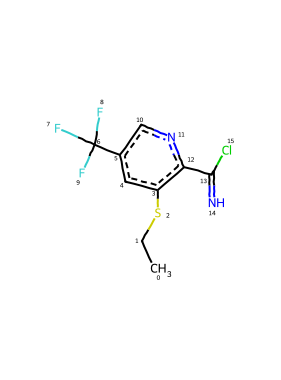 CCSc1cc(C(F)(F)F)cnc1C(=N)Cl